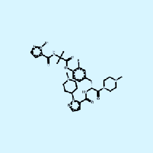 CCn1nccc1C(=O)NC(C)(C)C(=O)Nc1ccc(C[C@@H](NC(=O)c2ccnn2C2CCN(C)CC2)C(=O)N2CCN(C)CC2)cc1F